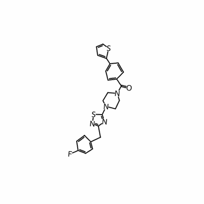 O=C(c1ccc(-c2cccs2)cc1)N1CCN(c2nc(Cc3ccc(F)cc3)ns2)CC1